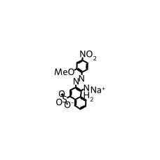 COc1cc([N+](=O)[O-])ccc1N=Nc1cc(S(=O)(=O)[O-])c2ccccc2c1N.[Na+]